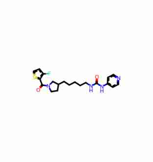 O=C(NCCCCCC1CCN(C(=O)c2sccc2F)C1)Nc1ccncc1